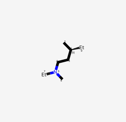 CC[C@H](C)CCN(C)CC